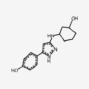 Oc1ccc(-c2cc(NC3CCCC(O)C3)n[nH]2)cc1